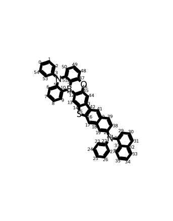 c1ccc(N2c3ccccc3B3c4cc5sc6cc7cc(N(c8ccccc8)c8cccc9ccccc89)ccc7cc6c5cc4Oc4cccc2c43)cc1